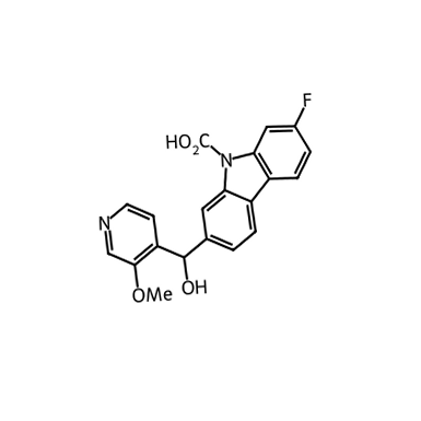 COc1cnccc1C(O)c1ccc2c3ccc(F)cc3n(C(=O)O)c2c1